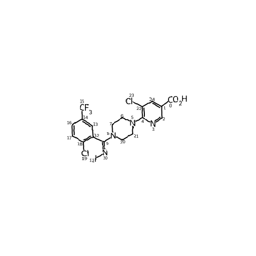 O=C(O)c1cnc(N2CCN(/C(=N/I)c3cc(C(F)(F)F)ccc3Cl)CC2)c(Cl)c1